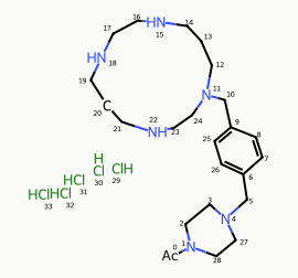 CC(=O)N1CCN(Cc2ccc(CN3CCCNCCNCCCNCC3)cc2)CC1.Cl.Cl.Cl.Cl.Cl